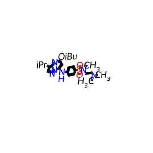 CC(C)COc1cc(Nc2ccc(S(=O)(=O)N(C)CCN(C)C)cc2)n2ncc(C(C)C)c2n1